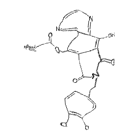 CCCCCC(=O)Oc1c2c(c(O)c3nccnc13)C(=O)N(Cc1ccc(Cl)c(Cl)c1)C2=O